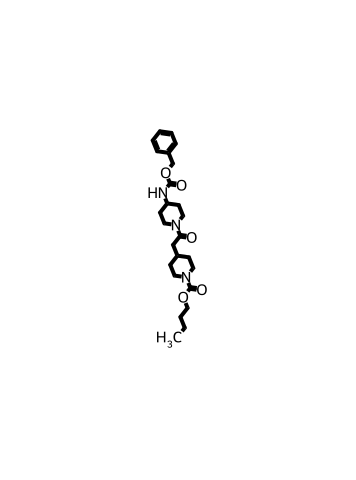 CCCCOC(=O)N1CCC(CC(=O)N2CCC(NC(=O)OCc3ccccc3)CC2)CC1